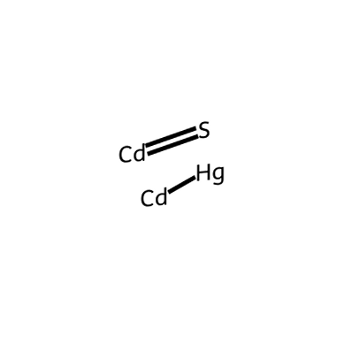 [Cd][Hg].[S]=[Cd]